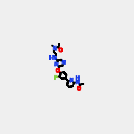 CC(=O)Nc1cccc(-c2ccc(Oc3cncc(NCCN(C)C(C)=O)n3)c(F)c2)n1